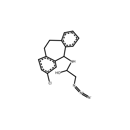 [N-]=[N+]=NCC(O)NC1c2ccccc2CCc2ccc(Cl)cc21